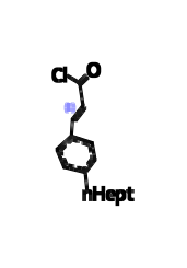 CCCCCCCc1ccc(/C=C/C(=O)Cl)cc1